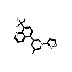 CC1CC(c2ccc(C(F)(F)F)c3ncccc23)CN(c2ccon2)C1